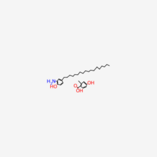 CCCCCCCCCCCCCCCCCCc1ccc(O)c(N)c1.Cc1cc(O)ccc1C(=O)O